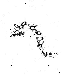 O=C(O)NCCOCCOCC(=O)NCc1ccc(COc2cccc3c2CN(C2CCC(=O)NC2=O)C3=O)cc1